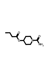 CCCC(=O)OC1CCN(C(N)=O)CC1